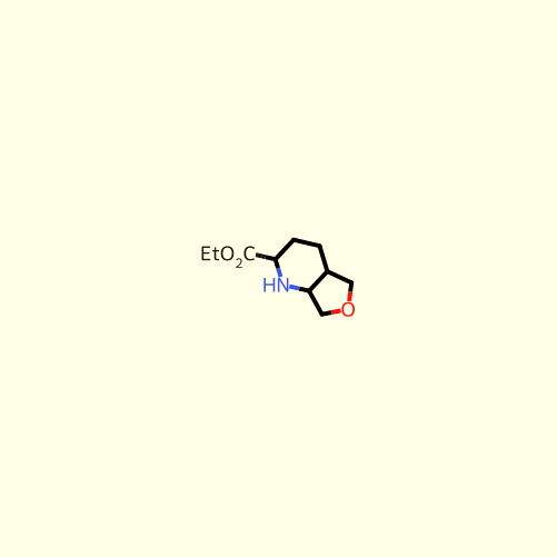 CCOC(=O)C1CCC2COCC2N1